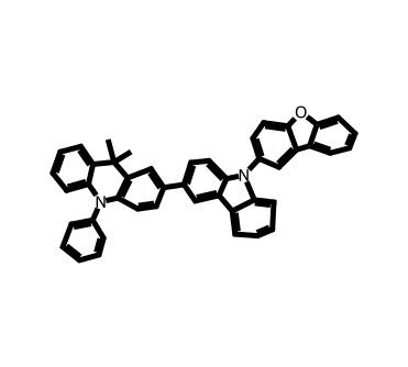 CC1(C)c2ccccc2N(c2ccccc2)c2ccc(-c3ccc4c(c3)c3ccccc3n4-c3ccc4oc5ccccc5c4c3)cc21